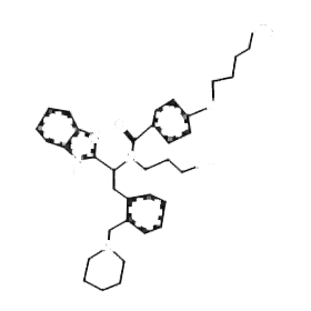 CCCCCOc1ccc(C(=O)N(CCCC)C(Cc2ccccc2CN2CCCCC2)c2nc3ccccc3[nH]2)cc1